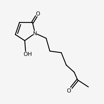 CC(=O)CCCCCN1C(=O)C=CC1O